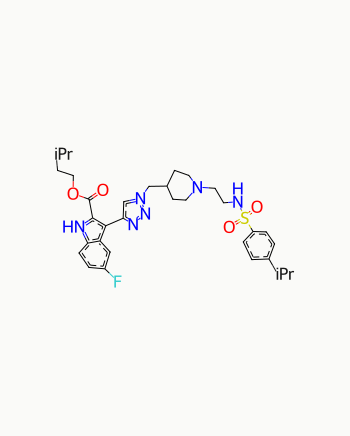 CC(C)CCOC(=O)c1[nH]c2ccc(F)cc2c1-c1cn(CC2CCN(CCNS(=O)(=O)c3ccc(C(C)C)cc3)CC2)nn1